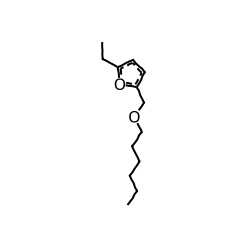 CCCCCCOCc1ccc(CC)o1